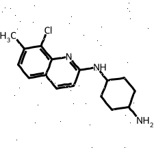 Cc1ccc2ccc(NC3CCC(N)CC3)nc2c1Cl